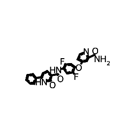 NC(=O)c1cc(Oc2cc(F)c(NC(=O)c3ccc(-c4ccccc4)[nH]c3=O)cc2F)ccn1